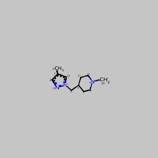 Cc1cnn(CC2CCN(C)CC2)c1